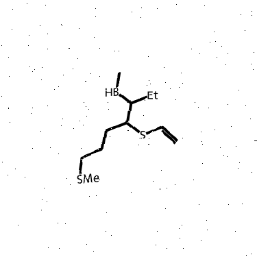 C=CSC(CCCSC)C(BC)CC